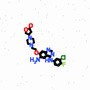 Nc1cc2c(Nc3ccc(F)c(Cl)c3)ncnc2cc1OCCN1CCN(C2COC(=O)C2)CC1